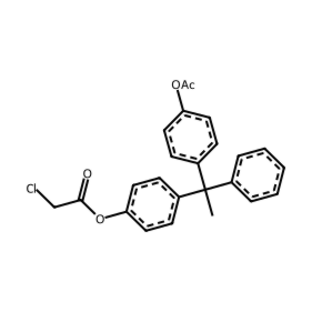 CC(=O)Oc1ccc(C(C)(c2ccccc2)c2ccc(OC(=O)CCl)cc2)cc1